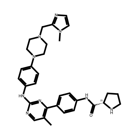 Cc1cnc(Nc2ccc(N3CCN(Cc4nccn4C)CC3)cc2)nc1-c1ccc(NC(=O)[C@@H]2CCCN2)cc1